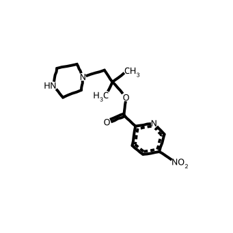 CC(C)(CN1CCNCC1)OC(=O)c1ccc([N+](=O)[O-])cn1